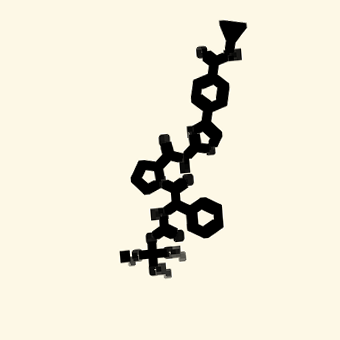 CC(C)(C)OC(=O)NC(C(=O)N1CCCC1C(=O)Nc1nc(-c2ccc(C(=O)NC3CC3)cc2)cs1)c1ccccc1